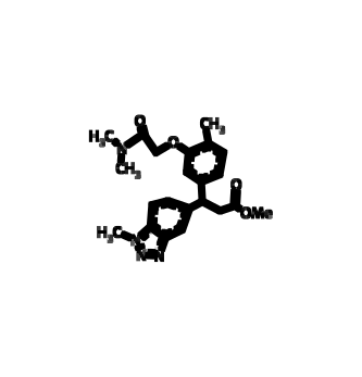 COC(=O)CC(c1ccc(C)c(OCC(=O)N(C)C)c1)c1ccc2c(c1)nnn2C